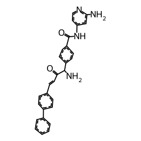 Nc1cc(NC(=O)c2ccc(C(N)C(=O)/C=C/c3ccc(-c4ccccc4)cc3)cc2)ccn1